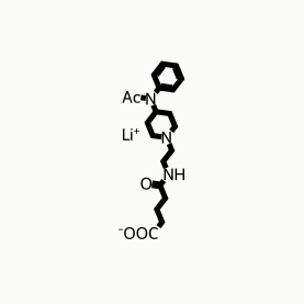 CC(=O)N(c1ccccc1)C1CCN(CCNC(=O)CCCC(=O)[O-])CC1.[Li+]